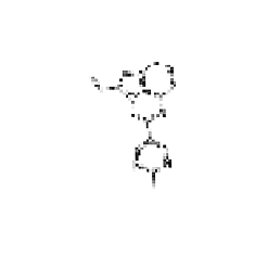 C=Cc1cn2c3c(nc(-c4cnc(C)nc4)cc13)C=CC2